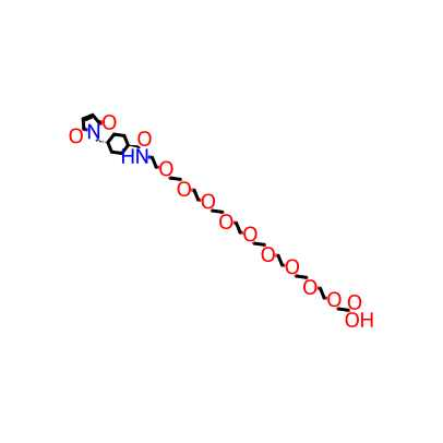 O=C(O)COCCOCCOCCOCCOCCOCCOCCOCCOCCNC(=O)[C@H]1CC[C@H](CN2C(=O)C=CC2=O)CC1